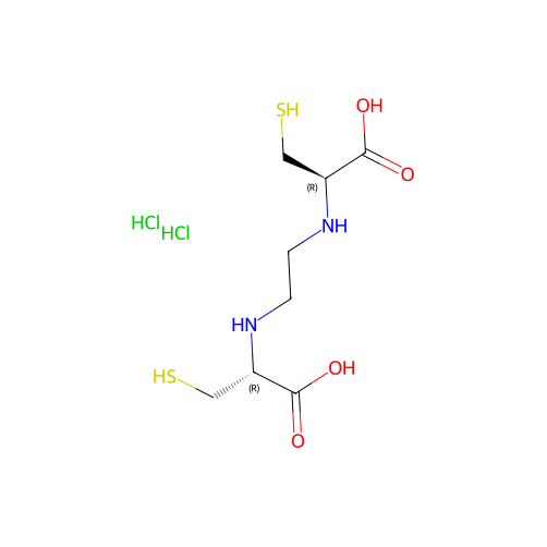 Cl.Cl.O=C(O)[C@H](CS)NCCN[C@@H](CS)C(=O)O